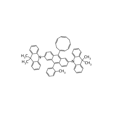 Cc1ccccc1-c1c2ccc(N3c4ccccc4C(C)(C)c4ccccc43)cc2c(/C2=C/C=C\C/C=C\C=C/C2)c2ccc(N3c4ccccc4C(C)(C)c4ccccc43)cc12